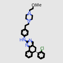 COCCN1CCN(CCc2ccc(Nc3ncc4c(n3)-c3ccccc3[C@@H](c3ccccc3Cl)C4)cc2)CC1